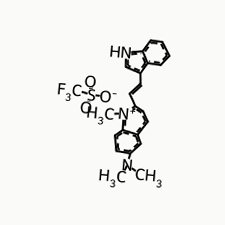 CN(C)c1ccc2c(ccc(/C=C/c3c[nH]c4ccccc34)[n+]2C)c1.O=S(=O)([O-])C(F)(F)F